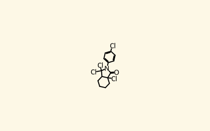 O=C1N(c2ccc(Cl)cc2)C(Cl)(Cl)C2CCCCC12Cl